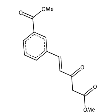 COC(=O)CC(=O)C=Cc1cccc(C(=O)OC)c1